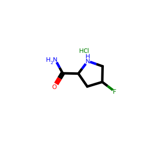 Cl.NC(=O)C1CC(F)CN1